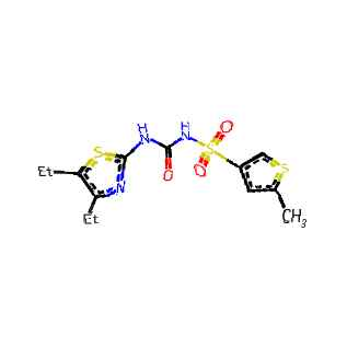 CCc1nc(NC(=O)NS(=O)(=O)c2csc(C)c2)sc1CC